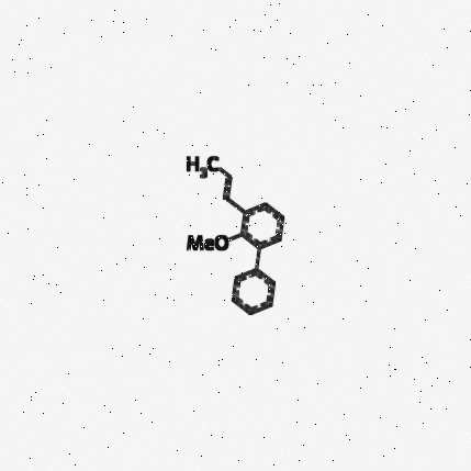 CC=Cc1cccc(-c2ccccc2)c1OC